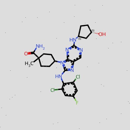 CC1(C(N)=O)CCC(n2c(Nc3c(Cl)cc(F)cc3Cl)nc3cnc(N[C@H]4CC[C@H](O)C4)nc32)CC1